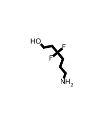 NCCCC(F)(F)CCO